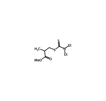 CCN(CC)C(=S)SCC(C)C(=O)OC